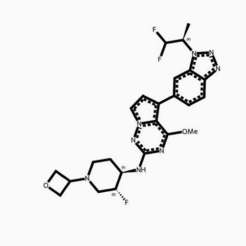 COc1nc(N[C@@H]2CCN(C3COC3)C[C@H]2F)nn2ccc(-c3ccc4nnn([C@H](C)C(F)F)c4c3)c12